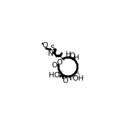 COCc1nc(C=C(C)[C@@H]2C[C@@H]3O[C@@H]3CCC[C@H](C)[C@H](O)[C@@H](C)C(=O)C(C)(C)[C@@H](O)CC(=O)O2)cs1